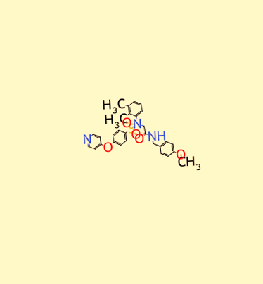 COc1ccc(CNC(=O)CN(c2cccc(C)c2C)S(=O)(=O)c2ccc(Oc3ccncc3)cc2)cc1